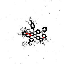 Cc1cc2c3c(c1)N(c1ccc(C(C)(C)C)cc1-c1ccc4c(c1)C(C)(C)CC4(C)C)c1cc4c(cc1B3c1cc(N(c3ccccc3)c3ccccc3)ccc1N2c1ccc(C(C)(C)C)cc1C)C(C)(C)CC4(C)C